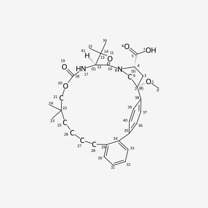 CO[C@@]12C[C@@H](C(=O)O)N(C1)C(=O)[C@H](C(C)(C)C)NC(=O)OCC(C)(C)CCCCc1ccccc1-c1ccc2cc1